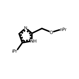 CCCOCc1ncc(C(C)C)[nH]1